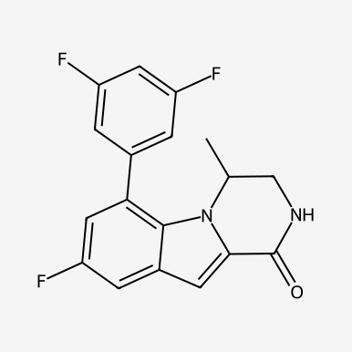 CC1CNC(=O)c2cc3cc(F)cc(-c4cc(F)cc(F)c4)c3n21